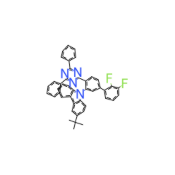 CC(C)(C)c1ccc2c(c1)c1ccccc1n2-c1cc(-c2cccc(F)c2F)ccc1-c1nc(-c2ccccc2)nc(-c2ccccc2)n1